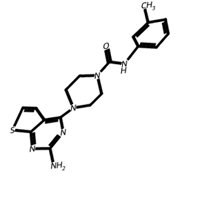 Cc1cccc(NC(=O)N2CCN(c3nc(N)nc4sccc34)CC2)c1